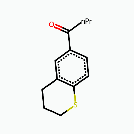 CCCC(=O)c1ccc2c(c1)CCCS2